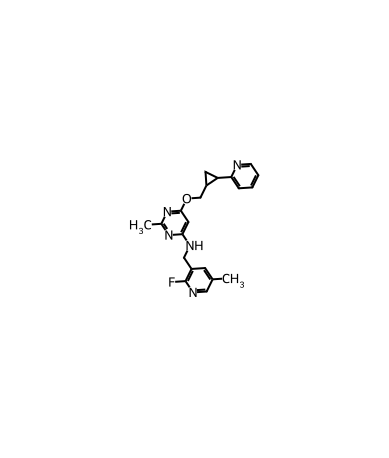 Cc1cnc(F)c(CNc2cc(OCC3CC3c3ccccn3)nc(C)n2)c1